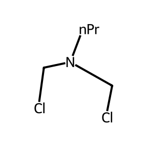 CCCN(CCl)CCl